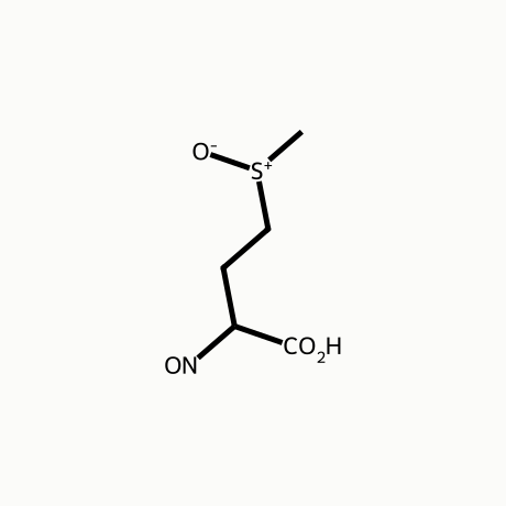 C[S+]([O-])CCC(N=O)C(=O)O